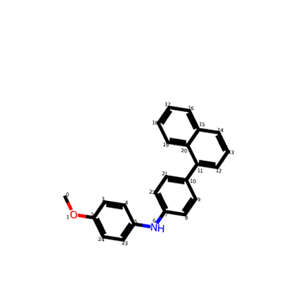 COc1ccc(Nc2ccc(-c3cccc4ccccc34)cc2)cc1